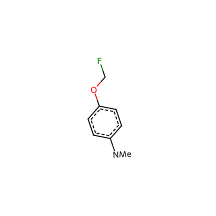 CNc1ccc(OCF)cc1